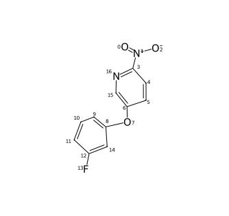 O=[N+]([O-])c1ccc(Oc2cccc(F)c2)cn1